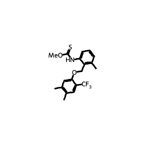 COC(=S)Nc1cccc(C)c1COc1cc(C)c(C)cc1C(F)(F)F